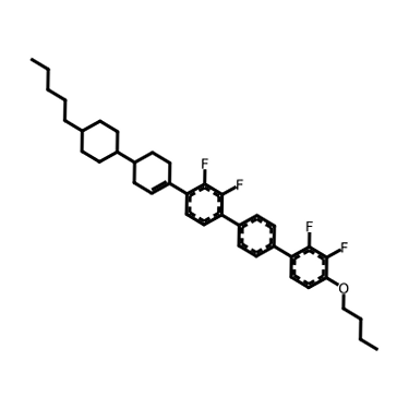 CCCCCC1CCC(C2CC=C(c3ccc(-c4ccc(-c5ccc(OCCCC)c(F)c5F)cc4)c(F)c3F)CC2)CC1